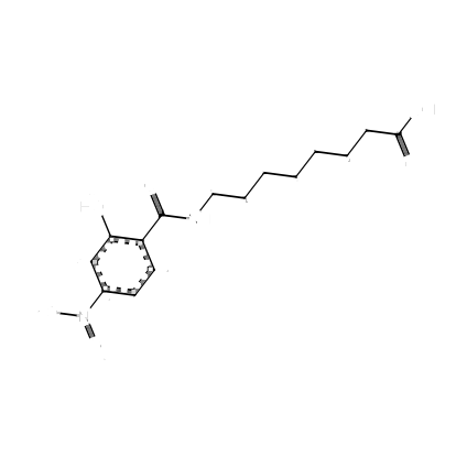 O=C(O)CCCCCCCNC(=O)c1ccc([N+](=O)[O-])cc1O